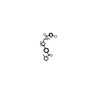 CC1CCCN1C(=O)c1ccc(C2=NOC(CNC(=O)c3ccc(Cl)s3)C2)cc1